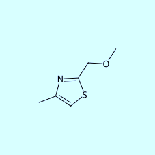 COCc1nc(C)cs1